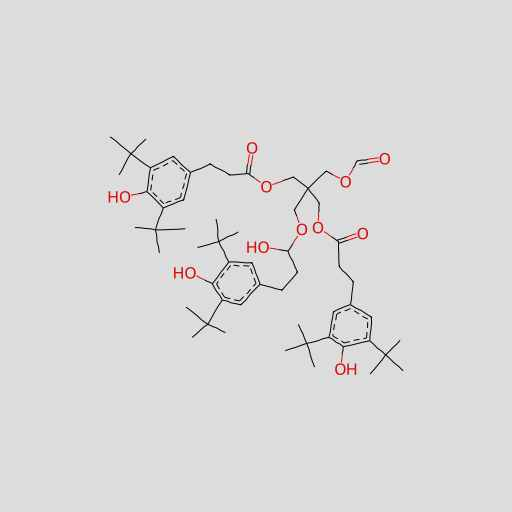 CC(C)(C)c1cc(CCC(=O)OCC(COC=O)(COC(=O)CCc2cc(C(C)(C)C)c(O)c(C(C)(C)C)c2)COC(O)CCc2cc(C(C)(C)C)c(O)c(C(C)(C)C)c2)cc(C(C)(C)C)c1O